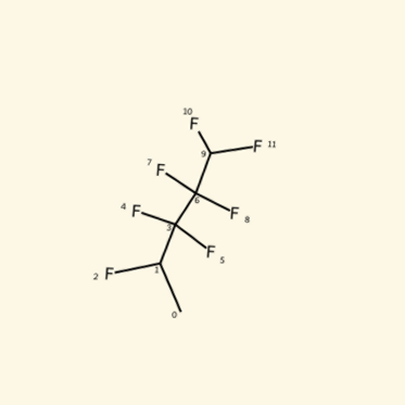 CC(F)C(F)(F)C(F)(F)C(F)F